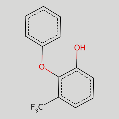 Oc1cccc(C(F)(F)F)c1Oc1ccccc1